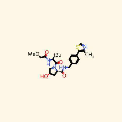 COCC(=O)NC(C(=O)N1C[C@H](O)C[C@H]1C(=O)NCc1ccc(-c2scnc2C)cc1)C(C)(C)C